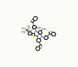 Cc1cc2c3c(c1)N(c1c(C)cc(-c4csc5ccccc45)cc1C)c1c(sc4ccc(C(C)(C)C)cc14)B3c1ccc(-c3csc4ccccc34)cc1N2c1cccc(-c2csc3ccccc23)c1